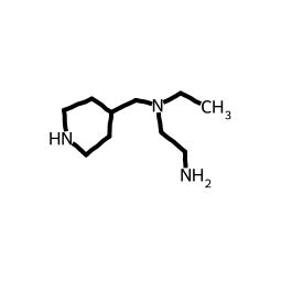 CCN(CCN)CC1CCNCC1